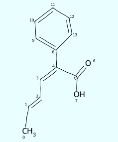 CC=CC=C(C(=O)O)c1ccccc1